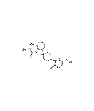 CC(=O)Cc1ccc(=O)n(C2CCC(COC(=O)NC(C)(C)C)(c3cccc(Cl)c3)CC2)n1